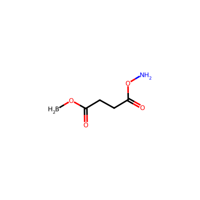 BOC(=O)CCC(=O)ON